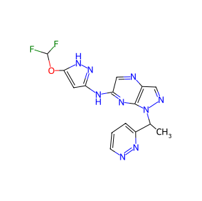 CC(c1cccnn1)n1ncc2ncc(Nc3cc(OC(F)F)[nH]n3)nc21